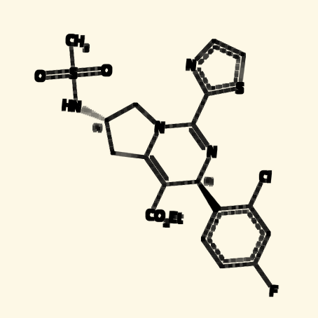 CCOC(=O)C1=C2C[C@H](NS(C)(=O)=O)CN2C(c2nccs2)=N[C@H]1c1ccc(F)cc1Cl